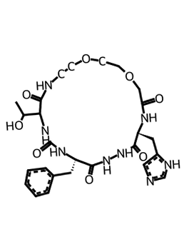 CC(O)C1NC(=O)N[C@@H](Cc2ccccc2)C(=O)NNC(=O)[C@H](Cc2cnc[nH]2)NC(=O)COCCOCCNC1=O